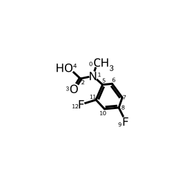 CN(C(=O)O)c1ccc(F)cc1F